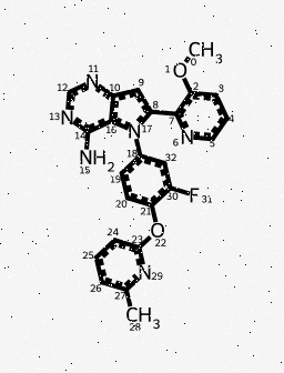 COc1cccnc1-c1cc2ncnc(N)c2n1-c1ccc(Oc2cccc(C)n2)c(F)c1